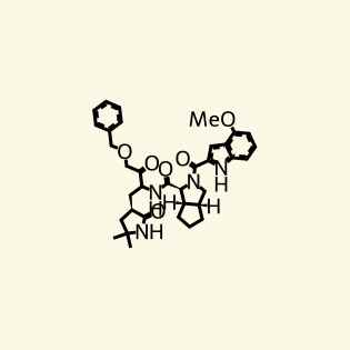 COc1cccc2[nH]c(C(=O)N3C[C@@H]4CCC[C@@H]4[C@H]3C(=O)NC(C[C@@H]3CC(C)(C)NC3=O)C(=O)COCc3ccccc3)cc12